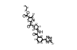 CCCOC(=O)c1sc(C(=O)N2CC[C@H](NC(=O)c3cccc(-c4nnn(C)n4)c3)C2)nc1C